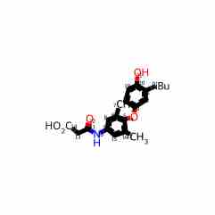 CCC(C)c1cc(Oc2c(C)cc(NC(=O)CC(=O)O)cc2C)ccc1O